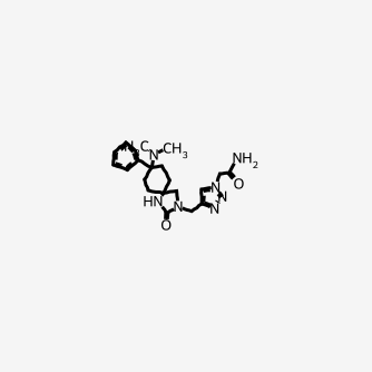 CN(C)C1(c2ccccc2)CCC2(CC1)CN(Cc1cn(CC(N)=O)nn1)C(=O)N2